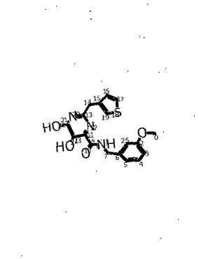 COc1cccc(CNC(=O)c2nc(Cc3ccsc3)nc(O)c2O)c1